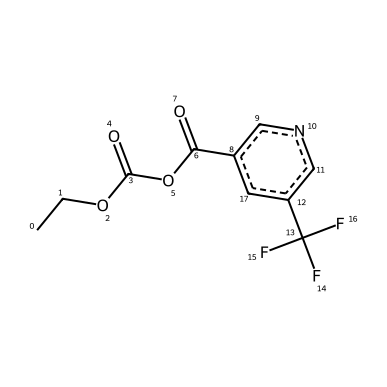 CCOC(=O)OC(=O)c1cncc(C(F)(F)F)c1